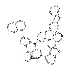 c1ccc(-c2ccc(-c3cccc4ccccc34)cc2N(c2ccc(-c3ccc4oc5ccccc5c4c3)cc2)c2cccc(-c3cccc4oc5c6ccccc6ccc5c34)c2)cc1